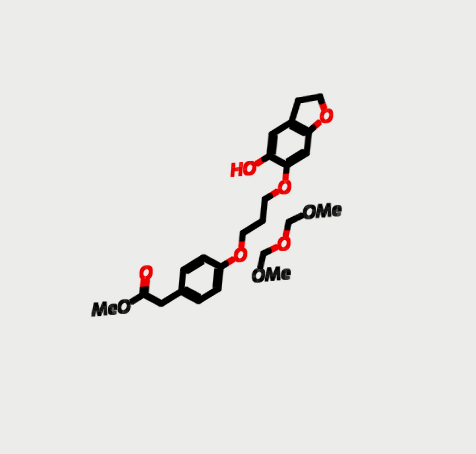 COC(=O)Cc1ccc(OCCCOc2cc3c(cc2O)CCO3)cc1.COCOCOC